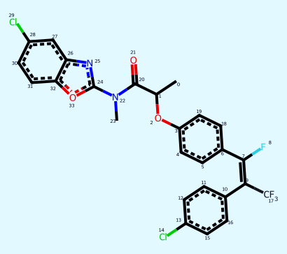 CC(Oc1ccc(C(F)=C(c2ccc(Cl)cc2)C(F)(F)F)cc1)C(=O)N(C)c1nc2cc(Cl)ccc2o1